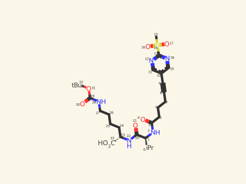 CC(C)[C@H](NC(=O)CCCC#Cc1cnc(S(C)(=O)=O)nc1)C(=O)N[C@@H](CCCCNC(=O)OC(C)(C)C)C(=O)O